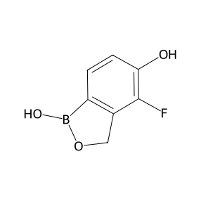 OB1OCc2c1ccc(O)c2F